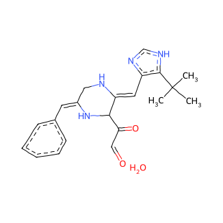 CC(C)(C)c1[nH]cnc1/C=C1\NC/C(=C/c2ccccc2)NC1C(=O)C=O.O